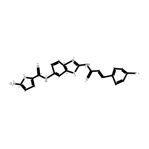 O=C(C=Cc1ccc(F)cc1)Nc1nc2ccc(NC(=O)c3ccc([N+](=O)[O-])o3)cc2s1